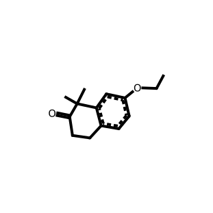 CCOc1ccc2c(c1)C(C)(C)C(=O)CC2